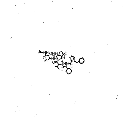 C=C(C)[C@H](NC(=O)[C@@H](NC(=O)c1nccn1Cc1ccccc1)C1CCCCC1)C(=O)N1C[C@H]2[C@H](CCC2(F)F)[C@H]1C(=O)N[C@@H](CCC)C(O)C(=O)NC1CC1